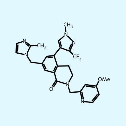 COc1ccnc(CN2CCc3c(cc(Cn4ccnc4C)cc3-c3cn(C)nc3C(F)(F)F)C2=O)c1